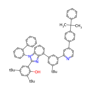 CC(C)(C)c1cc(-c2cc(-c3ccc(C(C)(C)c4ccccc4)cc3)ccn2)cc(-c2cccc3c2nc(-c2cc(C(C)(C)C)cc(C(C)(C)C)c2O)n3-c2ccccc2-c2ccccc2)c1